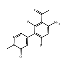 CC(=O)c1c(N)cc(F)c(-c2cnn(C)c(=O)c2)c1F